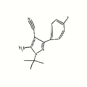 CC(C)(C)n1nc(-c2ccc(F)cc2)c(C#N)c1N